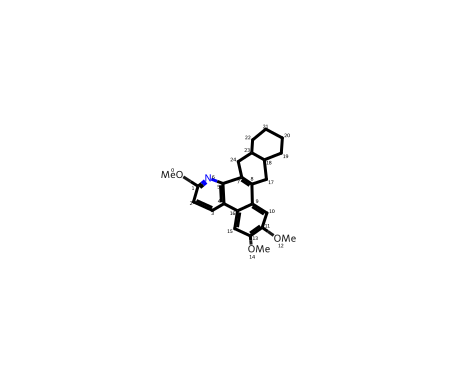 COc1ccc2c(n1)c1c(c3cc(OC)c(OC)cc32)CC2CCCCC2C1